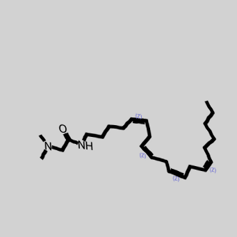 CCCCC/C=C\C/C=C\C/C=C\C/C=C\CCCCNC(=O)CN(C)C